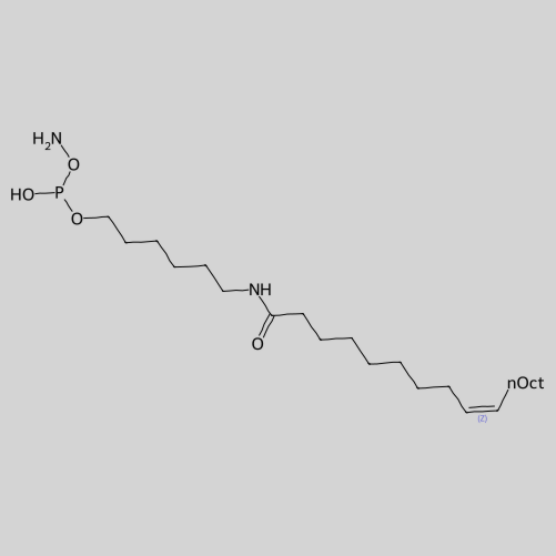 CCCCCCCC/C=C\CCCCCCCC(=O)NCCCCCCOP(O)ON